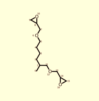 CC(CCCCOCC1CO1)COCC1CO1